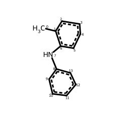 Cc1ccccc1Nc1c[c]ccc1